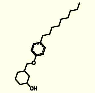 CCCCCCCCCc1ccc(OCC2CCCC(O)C2)cc1